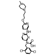 CN1CCN(CCCOc2ccc(Nc3nccc(N(Cc4cc(Cl)ccc4Cl)C(=O)O)n3)cn2)CC1